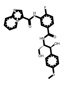 CSc1ccc([C@H](O)[C@H](CO)NC(=O)c2ccc(F)c(NC(=O)c3cnc4ccccn34)c2)cc1